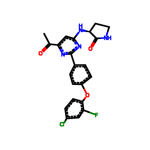 CC(=O)c1cc(N[C@H]2CCNC2=O)nc(-c2ccc(Oc3ccc(Cl)cc3F)cc2)n1